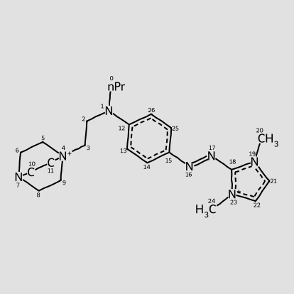 CCCN(CC[N+]12CCN(CC1)CC2)c1ccc(/N=N/c2n(C)cc[n+]2C)cc1